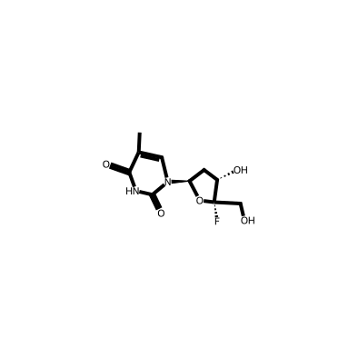 Cc1cn([C@H]2C[C@H](O)[C@@](F)(CO)O2)c(=O)[nH]c1=O